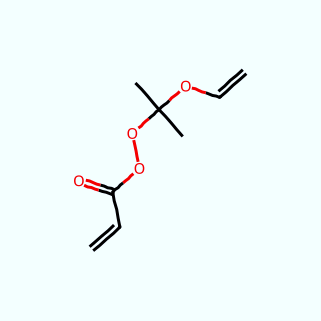 C=COC(C)(C)OOC(=O)C=C